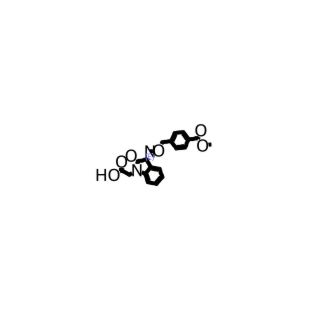 COC(=O)c1ccc(CO/N=C2/C(=O)N(CC(=O)O)c3ccccc32)cc1